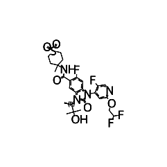 C[C@@H](n1c(=O)n(-c2cc(OCC(F)F)ncc2F)c2cc(F)c(C(=O)NC3(C)CCS(=O)(=O)CC3)cc21)C(C)(C)O